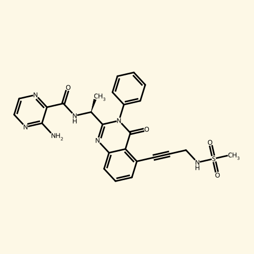 C[C@H](NC(=O)c1nccnc1N)c1nc2cccc(C#CCNS(C)(=O)=O)c2c(=O)n1-c1ccccc1